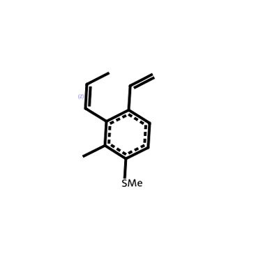 C=Cc1ccc(SC)c(C)c1/C=C\C